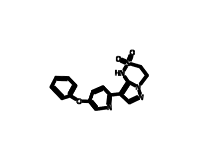 O=S1(=O)CCn2ncc(-c3ccc(Oc4ccccc4)cn3)c2N1